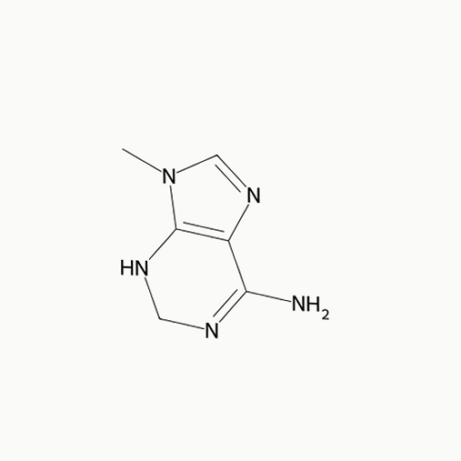 Cn1cnc2c1NCN=C2N